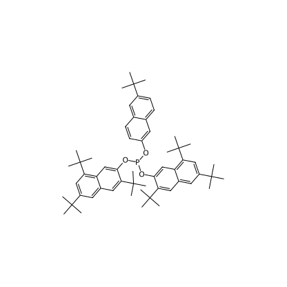 CC(C)(C)c1ccc2cc(OP(Oc3cc4c(C(C)(C)C)cc(C(C)(C)C)cc4cc3C(C)(C)C)Oc3cc4c(C(C)(C)C)cc(C(C)(C)C)cc4cc3C(C)(C)C)ccc2c1